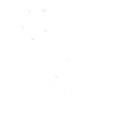 CC(Cn1cnc2c(N)ncnc21)OC[PH](=O)N(Oc1ccccc1)C(C)C(=O)OC1CCC1